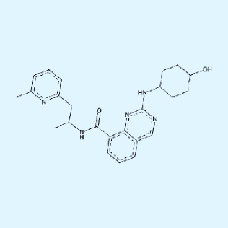 Cc1cccc(CC(C)NC(=O)c2cccc3cnc(NC4CCC(O)CC4)nc23)n1